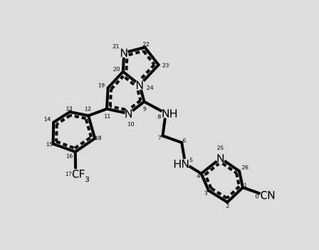 N#Cc1ccc(NCCNc2nc(-c3cccc(C(F)(F)F)c3)cc3nccn23)nc1